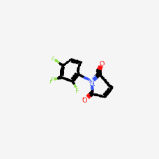 O=C1C=CC(=O)N1c1ccc(F)c(F)c1F